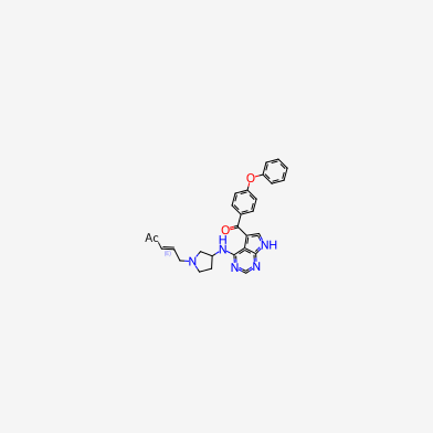 CC(=O)/C=C/CN1CCC(Nc2ncnc3[nH]cc(C(=O)c4ccc(Oc5ccccc5)cc4)c23)C1